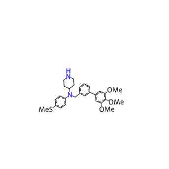 COc1cc(-c2cccc(CN(c3ccc(SC)cc3)C3CCNCC3)c2)cc(OC)c1OC